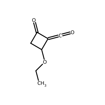 CCOC1CC(=O)C1=C=O